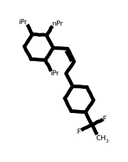 CCCC1C(/C=C\CC2CCC(C(C)(F)F)CC2)C(C(C)C)CCC1C(C)C